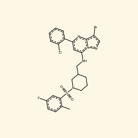 Cc1ccc(F)cc1S(=O)(=O)N1CCCC(CNc2cc(-c3ccccc3Cl)nc3c(Br)cnn23)C1